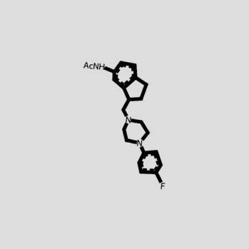 CC(=O)Nc1ccc2c(c1)C(CN1CCN(c3ccc(F)cc3)CC1)CC2